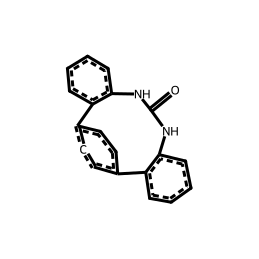 O=C1Nc2ccccc2-c2ccc(cc2)-c2ccccc2N1